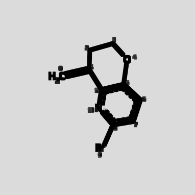 C=C1CCOc2ccc(Br)nc21